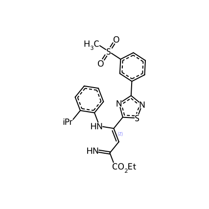 CCOC(=O)C(=N)/C=C(\Nc1ccccc1C(C)C)c1nc(-c2cccc(S(C)(=O)=O)c2)ns1